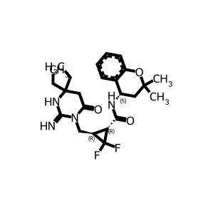 CCC1(CC)CC(=O)N(C[C@H]2[C@H](C(=O)N[C@H]3CC(C)(C)Oc4ccccc43)C2(F)F)C(=N)N1